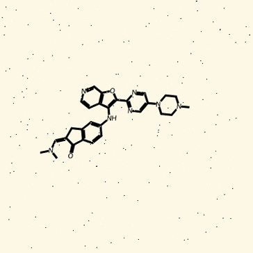 CN(C)C=C1Cc2cc(Nc3c(-c4ncc(N5CCN(C)CC5)cn4)oc4cnccc34)ccc2C1=O